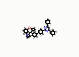 c1ccc(-c2cc(-c3ccccc3)nc(-c3ccc(-c4ccc5c(c4)C4(c6ccccc6Oc6ccccc64)c4ncccc4-5)cc3)n2)cc1